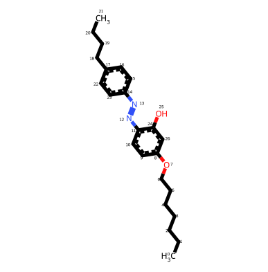 CCCCCCCOc1ccc(N=Nc2ccc(CCCC)cc2)c(O)c1